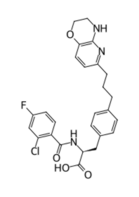 O=C(N[C@@H](Cc1ccc(CCCc2ccc3c(n2)NCCO3)cc1)C(=O)O)c1ccc(F)cc1Cl